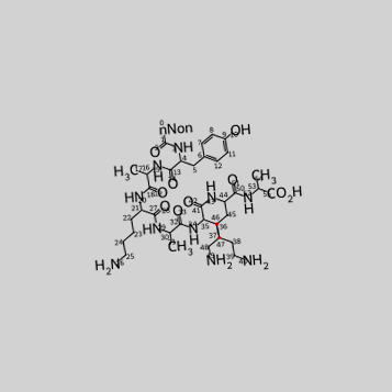 CCCCCCCCCC(=O)NC(Cc1ccc(O)cc1)C(=O)NC(C)C(=O)NC(CCCCN)C(=O)NC(C)C(=O)NC(CCCCN)C(=O)NC(CCCCN)C(=O)NC(C)C(=O)O